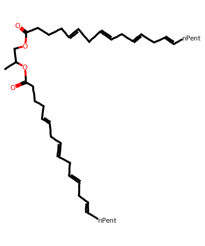 CCCCCC=CCC=CCC=CCC=CCCCC(=O)OCC(C)OC(=O)CCCC=CCC=CCC=CCC=CCCCCC